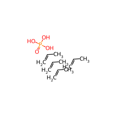 C=CC.C=CC.C=CC.C=CC.O=P(O)(O)O